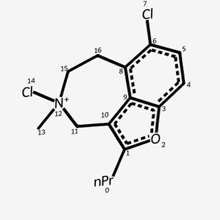 [CH2]CCc1oc2ccc(Cl)c3c2c1C[N+](C)(Cl)CC3